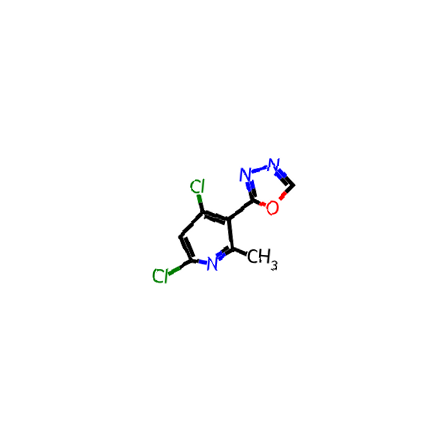 Cc1nc(Cl)cc(Cl)c1-c1nnco1